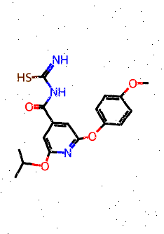 COc1ccc(Oc2cc(C(=O)NC(=N)S)cc(OC(C)C)n2)cc1